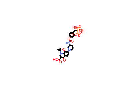 COc1c(N2C[C@@H](C)C[C@H](NC(=O)Oc3ccc(CC(P(=O)(O)O)P(=O)(O)O)cc3)C2)ccc2c(=O)c(C(=O)O)cn(C3CC3)c12